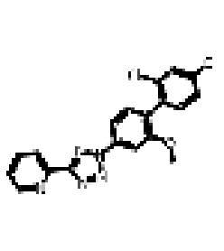 COc1cc(-n2nnc(-c3ccccn3)n2)ccc1-c1ccc(Cl)cc1Cl